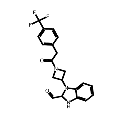 O=CC1Nc2ccccc2N1C1CN(C(=O)Cc2ccc(C(F)(F)F)cc2)C1